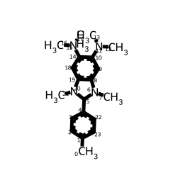 Cc1ccc(C2N(C)c3cc(N(C)C)c(N(C)C)cc3N2C)cc1